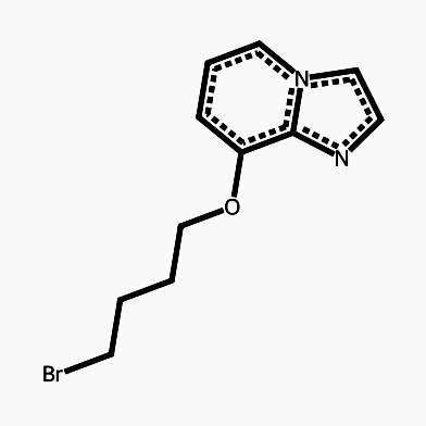 BrCCCCOc1cccn2ccnc12